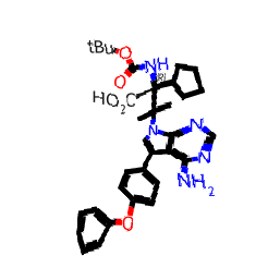 CC(C)(C)OC(=O)N[C@](C(=O)O)(C1CCCC1)C(C)(C)n1cc(-c2ccc(Oc3ccccc3)cc2)c2c(N)ncnc21